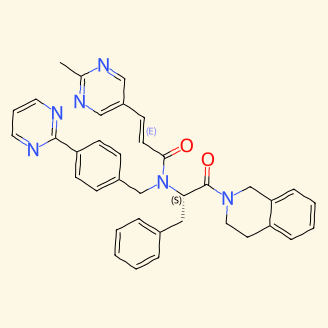 Cc1ncc(/C=C/C(=O)N(Cc2ccc(-c3ncccn3)cc2)[C@@H](Cc2ccccc2)C(=O)N2CCc3ccccc3C2)cn1